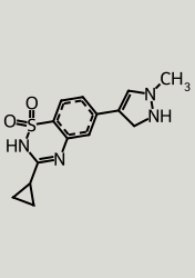 CN1C=C(c2ccc3c(c2)N=C(C2CC2)NS3(=O)=O)CN1